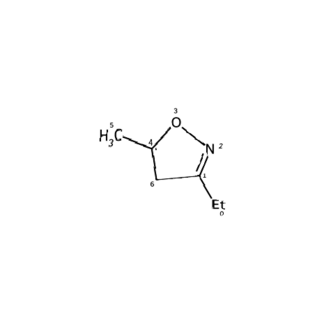 CCC1=NO[C](C)C1